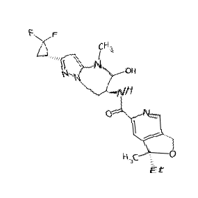 CC[C@@]1(C)OCc2cnc(C(=O)N[C@H]3CCn4nc([C@@H]5CC5(F)F)cc4N(C)C3O)cc21